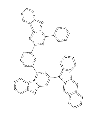 c1ccc(-c2nc(-c3cccc(-c4cc(-n5c6ccccc6c6cc7ccccc7cc65)cc5oc6ccccc6c45)c3)nc3c2oc2ccccc23)cc1